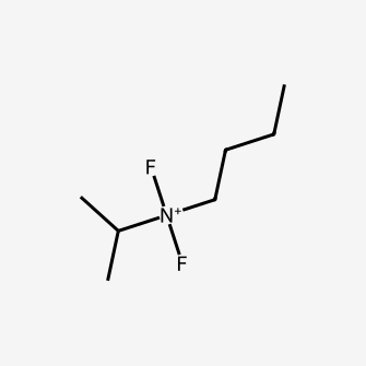 CCCC[N+](F)(F)C(C)C